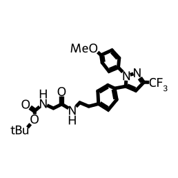 COc1ccc(-n2nc(C(F)(F)F)cc2-c2ccc(CCNC(=O)CNC(=O)OC(C)(C)C)cc2)cc1